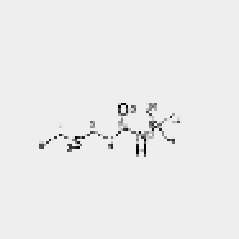 CCSCCC(=O)NC(C)(C)C